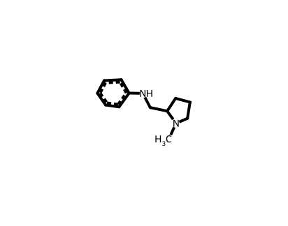 CN1CCCC1CNc1ccccc1